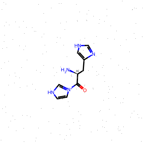 N[C@@H](Cc1c[nH]cn1)C(=O)[n+]1cc[nH]c1